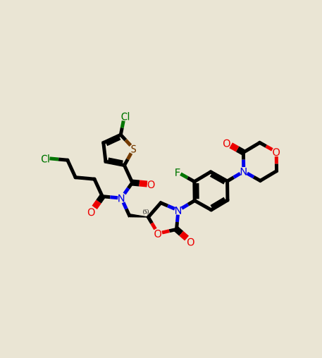 O=C(CCCCl)N(C[C@H]1CN(c2ccc(N3CCOCC3=O)cc2F)C(=O)O1)C(=O)c1ccc(Cl)s1